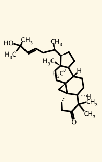 C[C@H](C/C=C/C(C)(C)O)[C@H]1CC[C@@]2(C)[C@@H]3CC[C@H]4C(C)(C)C(=O)CC[C@@]45C[C@@]35CC[C@]12C